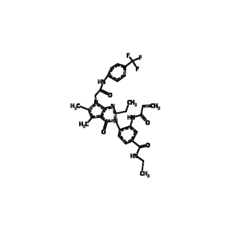 C=CC(=O)Nc1cc(C(=O)NCC)ccc1-n1c(CC)nc2c(c(C)c(C)n2CC(=O)Nc2ccc(C(F)(F)F)cc2)c1=O